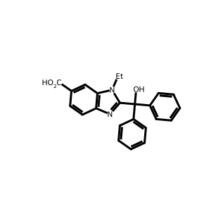 CCn1c(C(O)(c2ccccc2)c2ccccc2)nc2ccc(C(=O)O)cc21